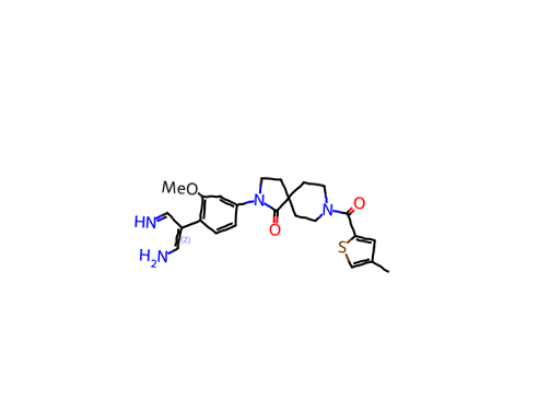 COc1cc(N2CCC3(CCN(C(=O)c4cc(C)cs4)CC3)C2=O)ccc1/C(C=N)=C/N